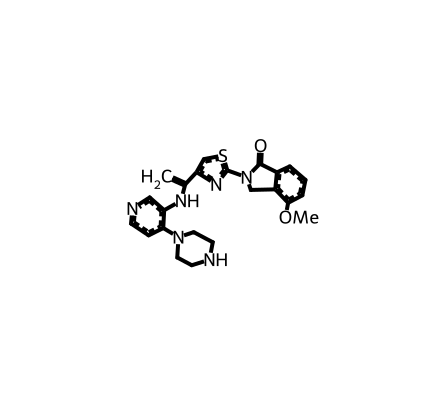 C=C(Nc1cnccc1N1CCNCC1)c1csc(N2Cc3c(OC)cccc3C2=O)n1